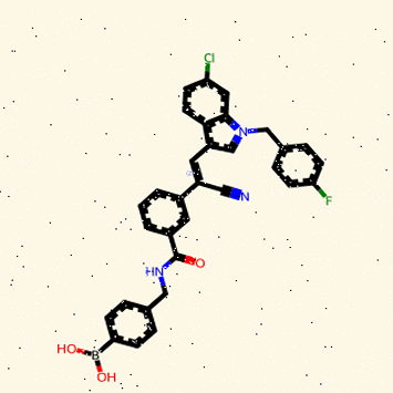 N#C/C(=C\c1cn(Cc2ccc(F)cc2)c2cc(Cl)ccc12)c1cccc(C(=O)NCc2ccc(B(O)O)cc2)c1